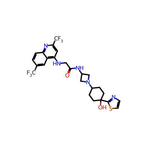 O=C(CNc1cc(C(F)(F)F)nc2ccc(C(F)(F)F)cc12)NC1CN(C2CCC(O)(c3nccs3)CC2)C1